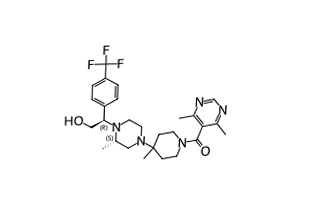 Cc1ncnc(C)c1C(=O)N1CCC(C)(N2CCN([C@@H](CO)c3ccc(C(F)(F)F)cc3)[C@@H](C)C2)CC1